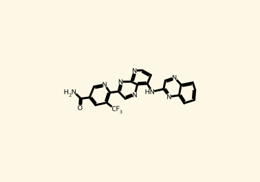 NC(=O)c1cnc(-c2cnc3c(Nc4cnc5ccccc5n4)ccnc3n2)c(C(F)(F)F)c1